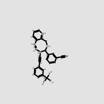 N#Cc1cccc(C2OCc3ncccc3/N=N\N2C#Cc2cccc(C(F)(F)F)c2)c1